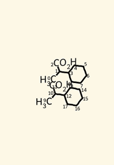 CC(C(=O)O)C1CCCCC1.CC(C(=O)O)C1CCCCC1